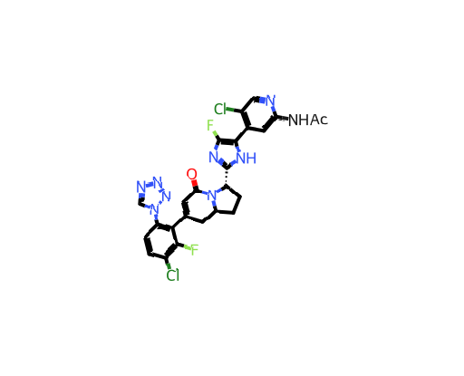 CC(=O)Nc1cc(-c2[nH]c([C@@H]3CCC4CC(c5c(-n6cnnn6)ccc(Cl)c5F)=CC(=O)N43)nc2F)c(Cl)cn1